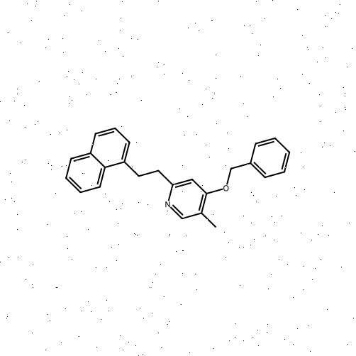 Cc1cnc(CCc2cccc3ccccc23)cc1OCc1ccccc1